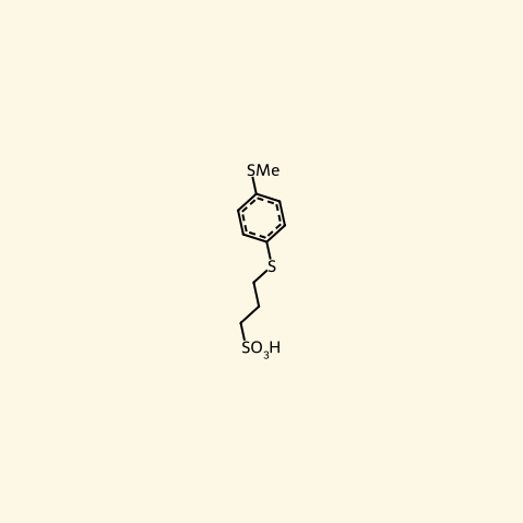 CSc1ccc(SCCCS(=O)(=O)O)cc1